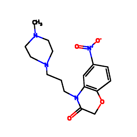 CN1CCN(CCCN2C(=O)COc3ccc([N+](=O)[O-])cc32)CC1